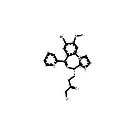 CCC(=O)CC[C@@H]1N=C(c2ccccn2)c2cc(Br)c(SF)cc2-n2ccnc21